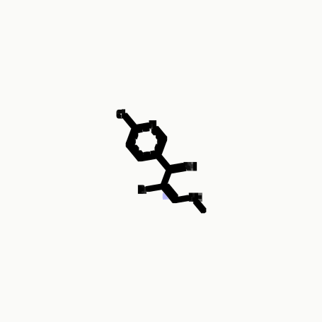 CN/C=C(/Br)C(=N)c1ccc(Cl)nc1